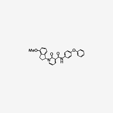 COc1cccc2c1CCC2n1cccc(C(=O)Nc2ccc(Oc3ccccc3)cc2)c1=O